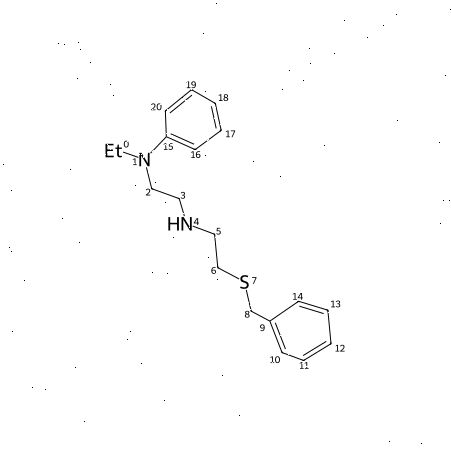 CCN(CCNCCSCc1ccccc1)c1ccccc1